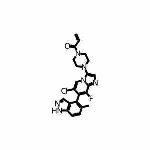 C=CC(=O)N1CCN(c2cnc3c(F)c(-c4c(C)ccc5[nH]ncc45)c(Cl)cn23)CC1